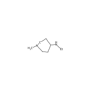 [CH2]CNC1CCN(C)CC1